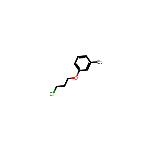 CCc1[c]c(OCCCCl)ccc1